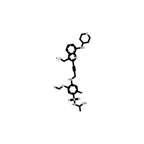 CC(O)NS(=O)(=O)c1cc(OCF)c(NCC#Cc2sc3c(NC4CCOCC4)cccc3c2CC(F)(F)F)cc1F